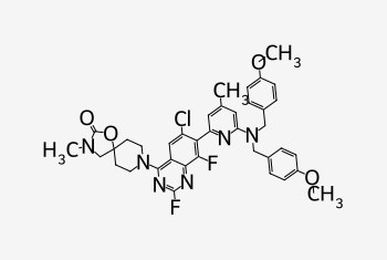 COc1ccc(CN(Cc2ccc(OC)cc2)c2cc(C)cc(-c3c(Cl)cc4c(N5CCC6(CC5)CN(C)C(=O)O6)nc(F)nc4c3F)n2)cc1